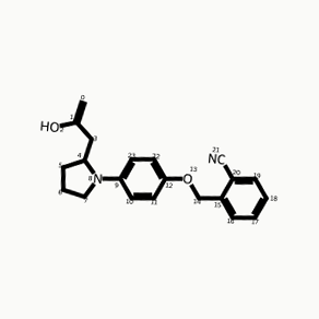 C=C(O)CC1CCCN1c1ccc(OCc2ccccc2C#N)cc1